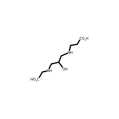 O=C(O)CCNCC(O)CNCC(=O)O